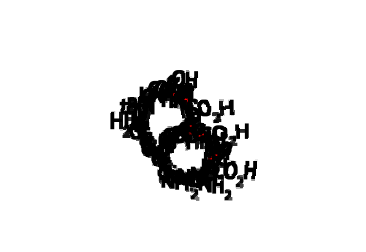 C[C@H](N)C(=O)N[C@H]1CSCCS(=O)(=O)N2CCN3CCN(CC2)S(=O)(=O)CCSC[C@@H]2NC(=O)[C@H](NC(=O)[C@H](Cc4cccc5ccccc45)NC(=O)[C@H](CCC(=O)O)NC(=O)[C@H](CC(N)=O)NC(=O)[C@@H](C)NC1=O)C(C(=O)O)C[C@H](NC2=O)C(=O)N[C@@H](CC(=O)O)C(=O)N[C@@H](Cc1ccccc1)C(=O)N[C@@H](Cc1ccc(O)cc1)C(=O)NC(CC(=O)O)C(=O)N[C@@H](C(C)(C)C)C(=O)N[C@H](C(N)=O)CSCCS3(=O)=O